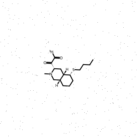 [3H]C(=O)C(=O)[C@@H]1C[C@H]2[C@H](CCC[C@H]2SCCCC)CN1C